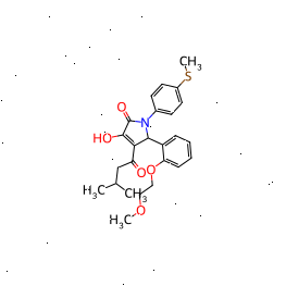 COCCOc1ccccc1C1C(C(=O)CC(C)C)=C(O)C(=O)N1c1ccc(SC)cc1